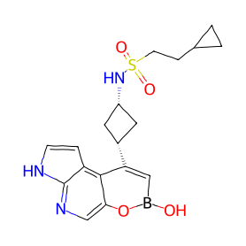 O=S(=O)(CCC1CC1)N[C@H]1C[C@@H](C2=CB(O)Oc3cnc4[nH]ccc4c32)C1